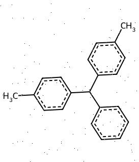 Cc1ccc([C](c2ccccc2)c2ccc(C)cc2)cc1